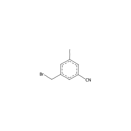 Cc1cc(C#N)cc(CBr)c1